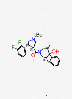 C[C@@H]1CN(C(=O)[C@@H]2CN(C(C)(C)C)C[C@H]2c2cccc(F)c2F)C[C@H](C)C1(O)c1ccccc1